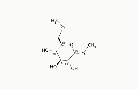 COC[C@H]1O[C@H](OC)[C@H](O)[C@@H](O)[C@@H]1O